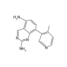 Cc1ccncc1-c1ccc(N)c2cnc(N)nc12